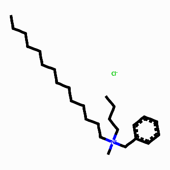 CCCCCCCCCCCCCC[N+](C)(CCCC)Cc1ccccc1.[Cl-]